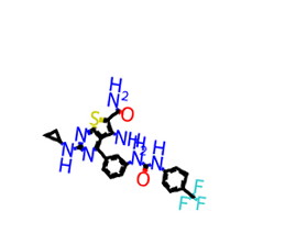 NC(=O)c1sc2nc(NC3CC3)nc(-c3cccc(NC(=O)Nc4ccc(C(F)(F)F)cc4)c3)c2c1N